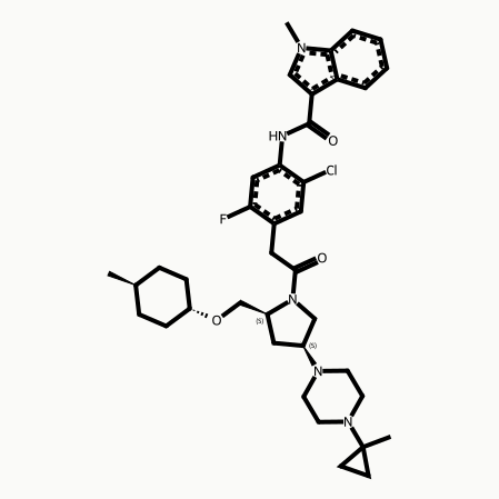 Cn1cc(C(=O)Nc2cc(F)c(CC(=O)N3C[C@@H](N4CCN(C5(C)CC5)CC4)C[C@H]3CO[C@H]3CC[C@H](C)CC3)cc2Cl)c2ccccc21